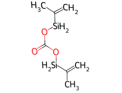 C=C(C)[SiH2]OC(=O)O[SiH2]C(=C)C